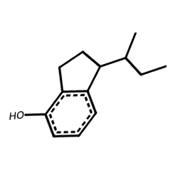 CCC(C)C1CCc2c(O)cccc21